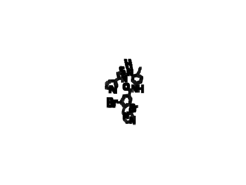 Cc1ccc(NC(=O)c2cc(Br)c(CN3CCN(C)CC3)c(Br)c2)cc1Nc1nc(-c2cccnc2)cs1